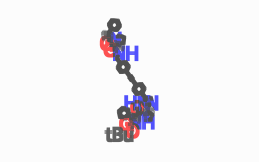 C[C@@H](C(=O)N1CCC[C@H]1C(=O)NCc1ccc(C#Cc2ccc(-c3cnc([C@@H]4CCCN4C(=O)[C@H](NC(=O)OC(C)(C)C)c4ccccc4)[nH]3)cc2)cc1)c1ccccc1